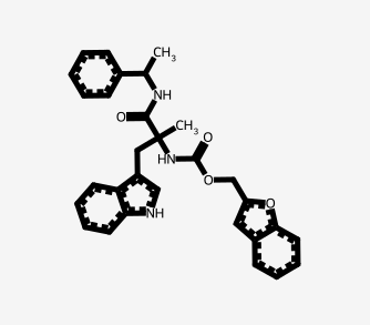 CC(NC(=O)C(C)(Cc1c[nH]c2ccccc12)NC(=O)OCc1cc2ccccc2o1)c1ccccc1